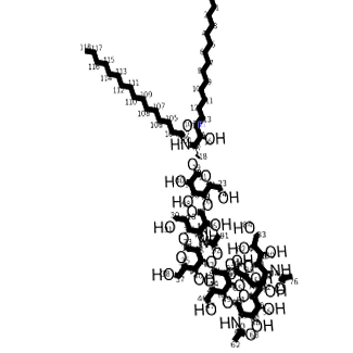 CCCCCCCCCCCCC/C=C/[C@@H](O)[C@H](CO[C@@H]1OC(CO)[C@@H](O[C@@H]2OC(CO)[C@H](O[C@@H]3OC(CO)[C@H](O)[C@H](O[C@@H]4OC(CO)[C@H](O[C@@H]5OC(CO)[C@H](O)[C@H](O)C5NC(C)=O)[C@H](O[C@]5(C(=O)O)CC(O)[C@@H](NC(C)=O)C([C@H](O)[C@H](O)CO)O5)C4O)C3NC(C)=O)[C@H](O)C2O)[C@H](O)C1O)NC(=O)CCCCCCCCCCCCCCC